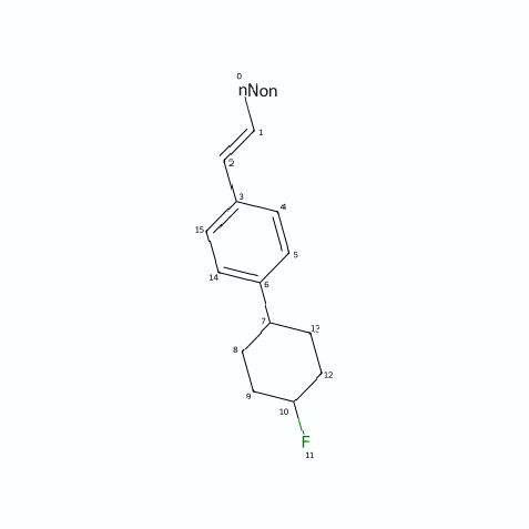 CCCCCCCCC/C=C/c1ccc(C2CCC(F)CC2)cc1